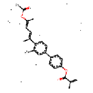 C=C(C)C(=O)Oc1ccc(-c2ccc(/C(C)=C/C=C(\C)OC(=O)CC)c(CC)c2)cc1